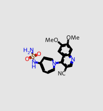 COc1cc2ncc(C#N)c(N3C=CC=C(NS(N)(=O)=O)C=C3)c2cc1OC